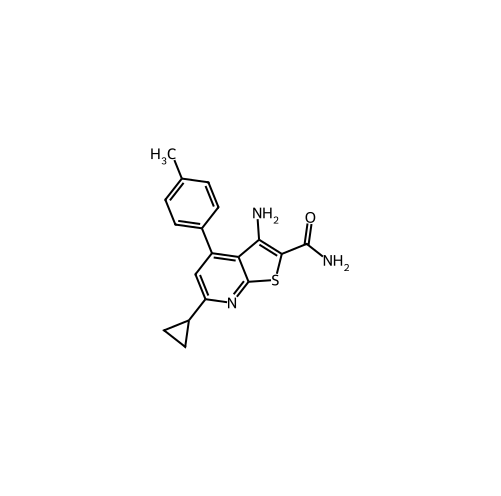 Cc1ccc(-c2cc(C3CC3)nc3sc(C(N)=O)c(N)c23)cc1